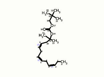 CC/C=C\C/C=C\C/C=C\CC(C)(C)OC(=O)OCC(C)(C)C